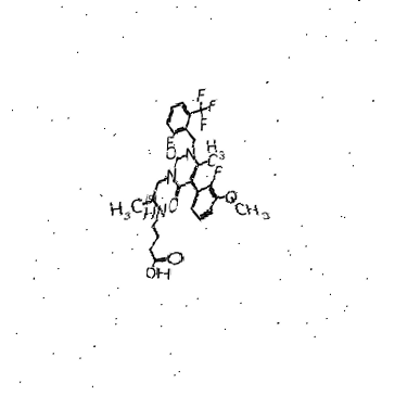 COc1cccc(-c2c(C)n(Cc3c(F)cccc3C(F)(F)F)c(=O)n(C[C@H](C)NCCCC(=O)O)c2=O)c1F